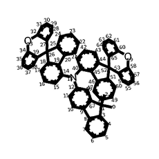 CC1(C)c2ccccc2-c2ccc(N(c3cccc4c3-c3ccccc3C43c4ccccc4Oc4ccccc43)c3cccc4c3-c3ccccc3C43c4ccccc4Oc4ccccc43)cc21